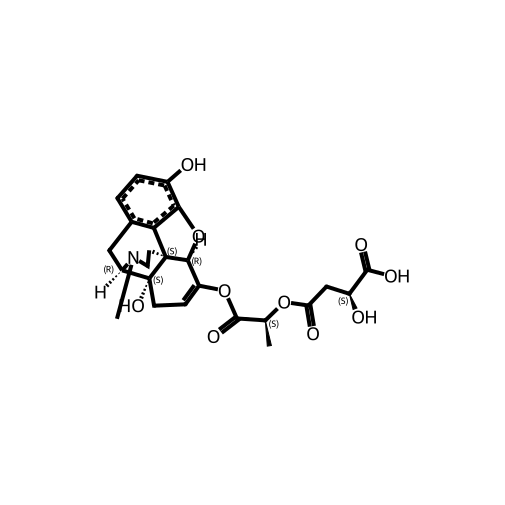 C[C@H](OC(=O)C[C@H](O)C(=O)O)C(=O)OC1=CC[C@@]2(O)[C@H]3Cc4ccc(O)c5c4[C@@]2(CCN3C)[C@H]1O5